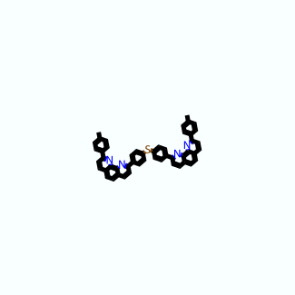 Cc1ccc(-c2ccc3ccc4ccc(-c5ccc(Sc6ccc(-c7ccc8ccc9ccc(-c%10ccc(C)cc%10)nc9c8n7)cc6)cc5)nc4c3n2)cc1